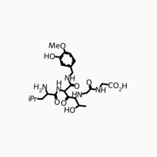 COc1ccc(CNC(=O)C(NC(=O)C(N)CC(C)C)C(=O)C(NCC(=O)NCC(=O)O)C(C)O)cc1O